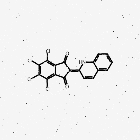 O=C1C(=C2C=Cc3ccccc3N2)C(=O)c2c(Cl)c(Cl)c(Cl)c(Cl)c21